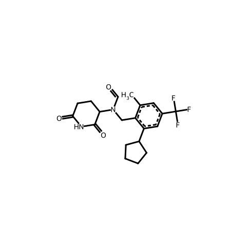 Cc1cc(C(F)(F)F)cc(C2CCCC2)c1CN(C=O)C1CCC(=O)NC1=O